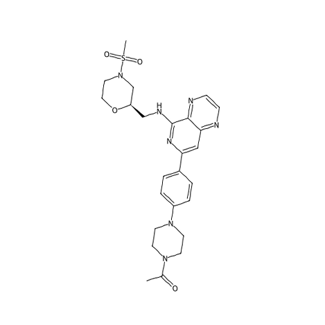 CC(=O)N1CCN(c2ccc(-c3cc4nccnc4c(NC[C@@H]4CN(S(C)(=O)=O)CCO4)n3)cc2)CC1